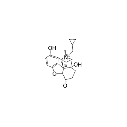 C[N@+]1(CC2CC2)CC[C@@]23c4c5ccc(O)c4CC1C2(O)CCC(=O)C3O5